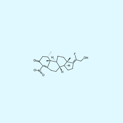 C[C@H]1CC(=O)C([N+](=O)[O-])=C2CC[C@@H]3[C@H](CC[C@]4(C)C(=C(F)CO)CC[C@@H]34)[C@]21C